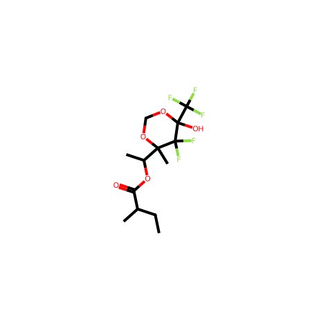 CCC(C)C(=O)OC(C)C1(C)OCOC(O)(C(F)(F)F)C1(F)F